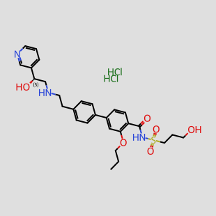 CCCOc1cc(-c2ccc(CCNC[C@@H](O)c3cccnc3)cc2)ccc1C(=O)NS(=O)(=O)CCCO.Cl.Cl